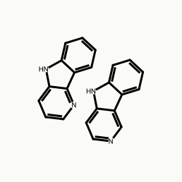 c1ccc2c(c1)[nH]c1cccnc12.c1ccc2c(c1)[nH]c1ccncc12